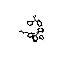 CCCCc1cccc([SiH2]C(c2ccccc2)(c2ccccc2)n2ccnc2)c1.c1ccc(B(c2ccccc2)C2CC2)cc1